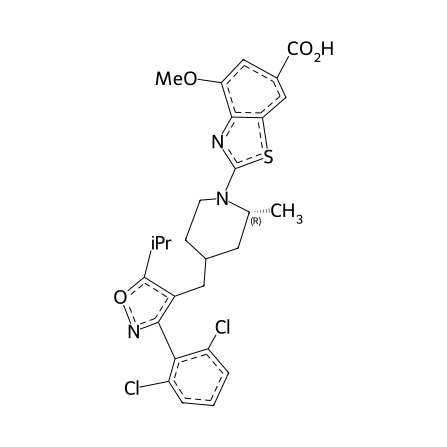 COc1cc(C(=O)O)cc2sc(N3CCC(Cc4c(-c5c(Cl)cccc5Cl)noc4C(C)C)C[C@H]3C)nc12